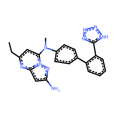 CCc1cc(N(C)c2ccc(-c3ccccc3-c3nnn[nH]3)cc2)n2nc(N)cc2n1